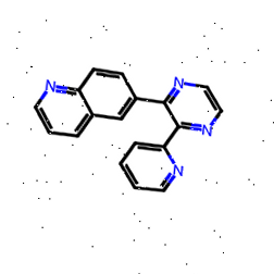 c1ccc(-c2nccnc2-c2ccc3ncccc3c2)nc1